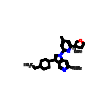 CO[C@@]1(c2cc(C)cc(-n3cc(C4CCC(CC(=O)O)CC4)c4cnc(NC(C)=O)cc43)n2)CCOC1